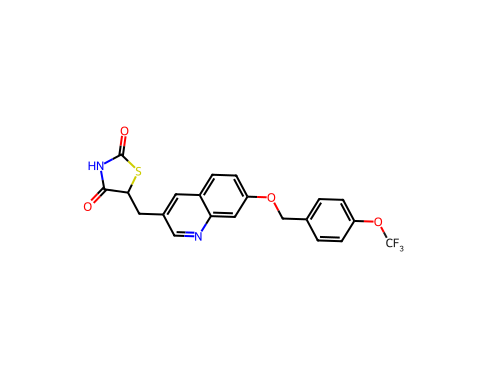 O=C1NC(=O)C(Cc2cnc3cc(OCc4ccc(OC(F)(F)F)cc4)ccc3c2)S1